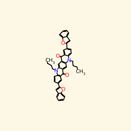 CCCCn1c2ccc(-c3cc4ccccc4o3)cc2c(=O)c2cc3c(cc21)c(=O)c1cc(-c2cc4ccccc4o2)ccc1n3CCCC